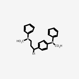 CCC(CCN(C(=O)O)c1ccccc1)c1ccc(N(C(=O)O)c2ccccc2)cc1